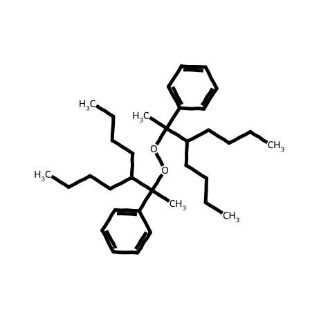 CCCCC(CCCC)C(C)(OOC(C)(c1ccccc1)C(CCCC)CCCC)c1ccccc1